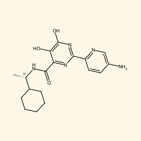 C[C@H](NC(=O)c1nc(-c2ccc(N)cn2)nc(O)c1O)C1CCCCC1